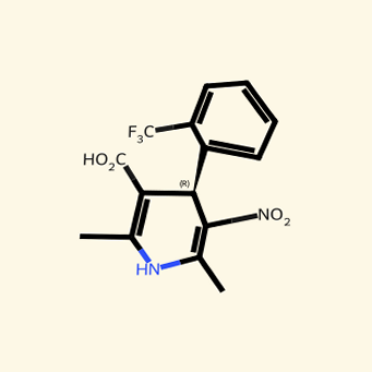 CC1=C(C(=O)O)[C@@H](c2ccccc2C(F)(F)F)C([N+](=O)[O-])=C(C)N1